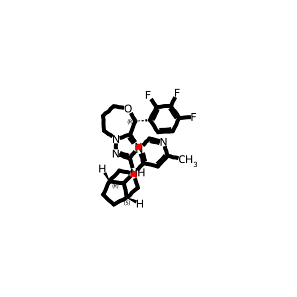 Cc1cc(N2C[C@H]3CC[C@@H](C2)C3Nc2nc3n(n2)CCCO[C@@H]3c2ccc(F)c(F)c2F)ncn1